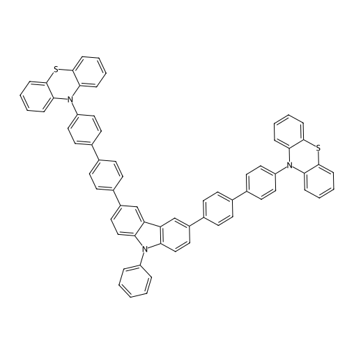 c1ccc(-n2c3ccc(-c4ccc(-c5ccc(N6c7ccccc7Sc7ccccc76)cc5)cc4)cc3c3cc(-c4ccc(-c5ccc(N6c7ccccc7Sc7ccccc76)cc5)cc4)ccc32)cc1